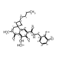 CCCO[C@H]1C[C@@]2(CN(C)C(=O)c3c(O)c(=O)c(C(=O)NCc4cccc(Cl)c4F)cn32)C1.Cl